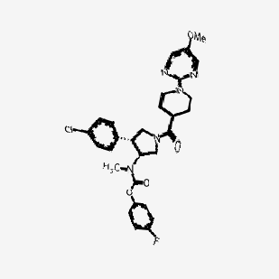 COc1cnc(N2CCC(C(=O)N3C[C@@H](N(C)C(=O)Oc4ccc(F)cc4)[C@H](c4ccc(Cl)cc4)C3)CC2)nc1